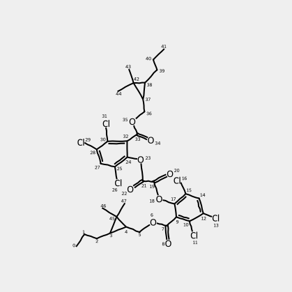 CCCC1C(COC(=O)c2c(Cl)c(Cl)cc(Cl)c2OC(=O)C(=O)Oc2c(Cl)cc(Cl)c(Cl)c2C(=O)OCC2C(CCC)C2(C)C)C1(C)C